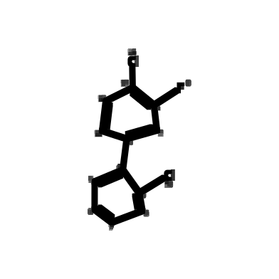 Fc1cc(-c2ccccc2Cl)ccc1Cl